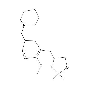 COc1ccc(CN2CCCCC2)cc1CC1COC(C)(C)O1